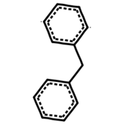 [c]1cc[c]c(Cc2ccccc2)c1